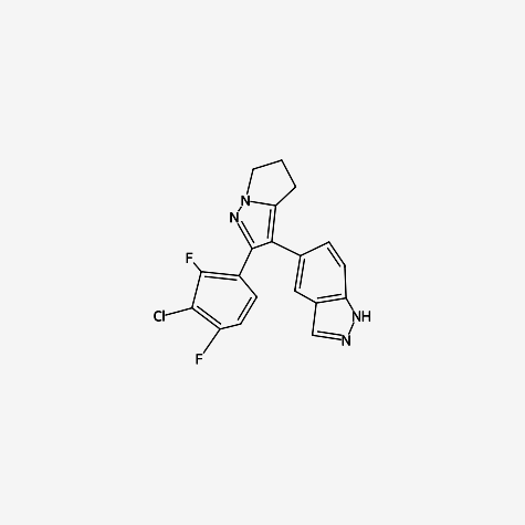 Fc1ccc(-c2nn3c(c2-c2ccc4[nH]ncc4c2)CCC3)c(F)c1Cl